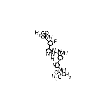 CC(C)C(=O)Nc1cncc(-c2ccc3[nH]nc(-c4nc5c(-c6cc(F)cc(CNS(C)(=O)=O)c6)ccnc5[nH]4)c3c2)c1